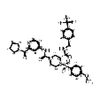 CCC(F)(F)c1ccc(CNC(=O)[C@H]2CN(C(=O)Nc3ccnc(C(=O)N4CCCC4)c3)CCN2S(=O)(=O)c2ccc(OC(F)(F)F)cc2)cc1